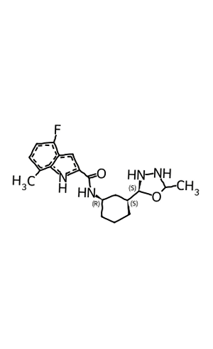 Cc1ccc(F)c2cc(C(=O)N[C@@H]3CCC[C@H]([C@H]4NNC(C)O4)C3)[nH]c12